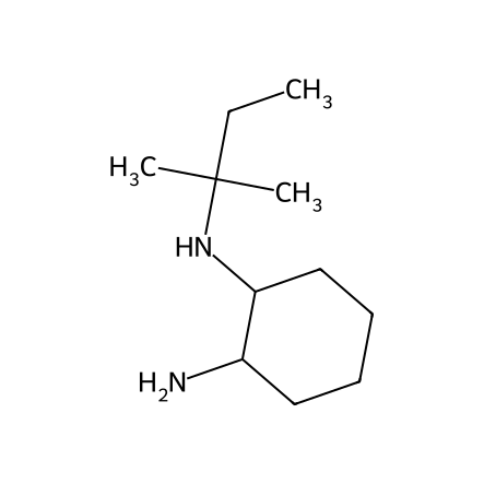 CCC(C)(C)NC1CCCCC1N